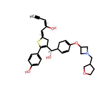 C#C/C=C(O)\C=C1/CC([C@@H](O)C2C=CC(OC3CN(CC4CCOC4)C3)=CC2)=C(c2ccc(O)cc2)S1